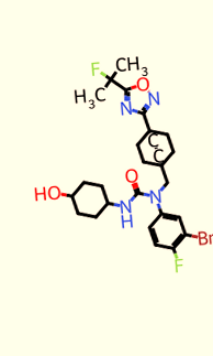 CC(C)(F)c1nc(C23CCC(CN(C(=O)NC4CCC(O)CC4)c4ccc(F)c(Br)c4)(CC2)CC3)no1